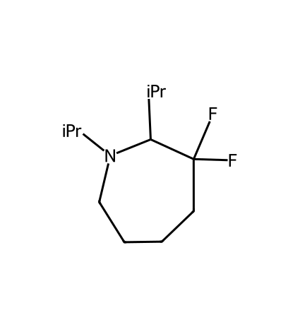 CC(C)C1N(C(C)C)CCCCC1(F)F